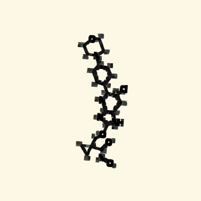 O=NC(=O)C1(COc2nc3nc(-c4ccc(N5CCOCC5)cc4)c(Cl)cc3[nH]2)CC1